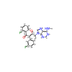 CNc1ncnc2c1ncn2C(C)c1oc2cccc(F)c2c(=O)c1-c1cccc(F)c1